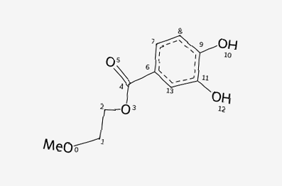 COCCOC(=O)c1ccc(O)c(O)c1